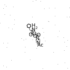 CC(=O)N1CCN(C(=O)OOC(=O)[C@@H](N)Cc2ccccc2)CC1